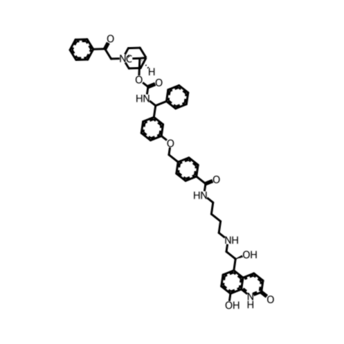 O=C(NC(c1ccccc1)c1cccc(OCc2ccc(C(=O)NCCCCNC[C@@H](O)c3ccc(O)c4[nH]c(=O)ccc34)cc2)c1)O[C@H]1C[N+]2(CC(=O)c3ccccc3)CCC1CC2